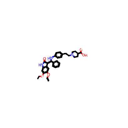 CCOc1cc2c(cc1OCC)/C(=C(/Nc1ccc(CCN3CCC(C(=O)O)CC3)cc1)c1ccccc1)C(=O)N2